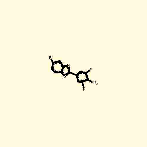 Nc1c(F)cc(-c2nc3cc(F)ccc3s2)cc1F